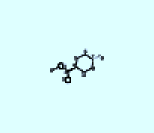 COC(=O)[C@H]1CC[C@H](C)CC1